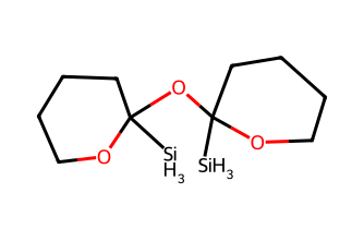 [SiH3]C1(OC2([SiH3])CCCCO2)CCCCO1